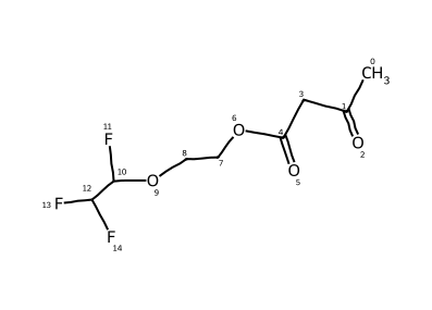 CC(=O)CC(=O)OCCOC(F)C(F)F